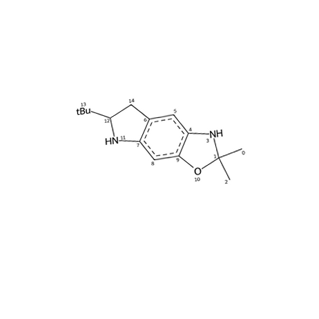 CC1(C)Nc2cc3c(cc2O1)NC(C(C)(C)C)C3